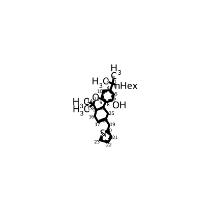 CCCCCCC(C)(C)c1cc(O)c2c(c1)OC(C)(C)C1CC=C(Cc3cccs3)CC21